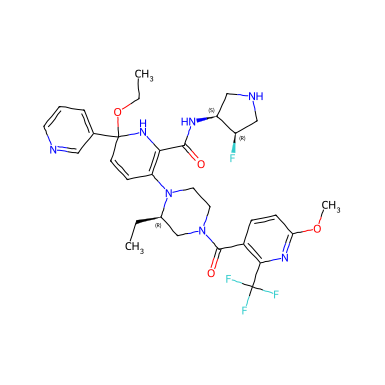 CCOC1(c2cccnc2)C=CC(N2CCN(C(=O)c3ccc(OC)nc3C(F)(F)F)C[C@H]2CC)=C(C(=O)N[C@H]2CNC[C@H]2F)N1